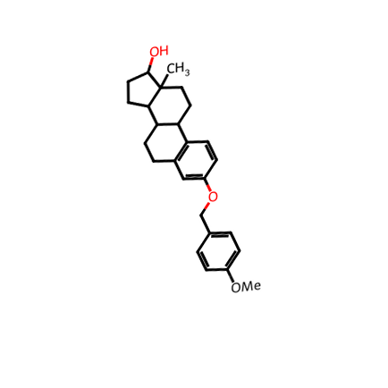 COc1ccc(COc2ccc3c(c2)CCC2C3CCC3(C)C(O)CCC23)cc1